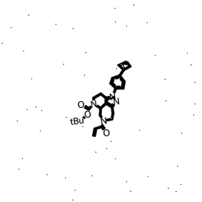 C=CC(=O)N1CCc2nn(-c3ccc(C45CC(C4)C5)cc3)c3c2C(C1)N(C(=O)OC(C)(C)C)CC3